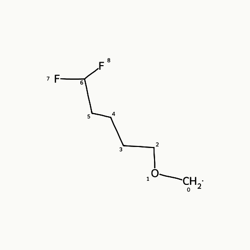 [CH2]OCCCCC(F)F